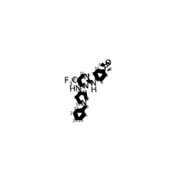 CP(C)(=O)c1ccc(Nc2ncc(C(F)(F)F)c(NC3CCN(Cc4ccccc4)CC3)n2)cc1